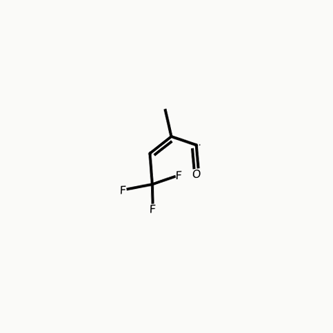 CC([C]=O)=CC(F)(F)F